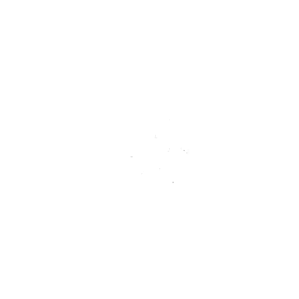 Clc1cc(Cl)c2[nH]ccc2c1